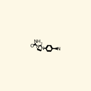 N#Cc1ccc(N2C=CN(C(N)=O)C2)cc1